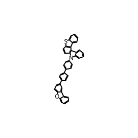 c1ccc2c(c1)oc1ccc(-c3ccc(-c4ccc(-n5c6ccccc6c6c7c(ccc65)sc5ccccc57)cc4)cc3)cc12